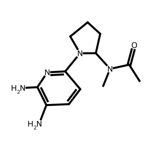 CC(=O)N(C)C1CCCN1c1ccc(N)c(N)n1